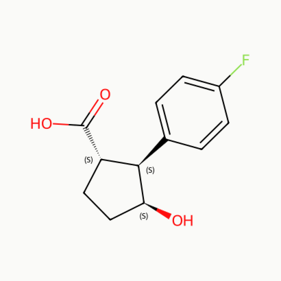 O=C(O)[C@H]1CC[C@H](O)[C@@H]1c1ccc(F)cc1